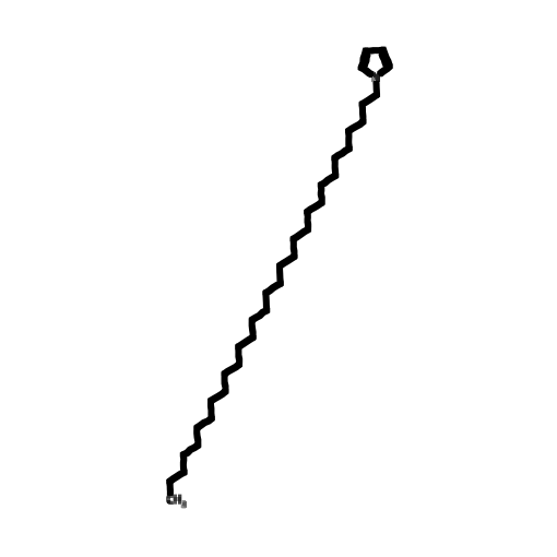 CCCCCCCCCCCCCCCCCCCCCCCCCCCCCCCn1cccc1